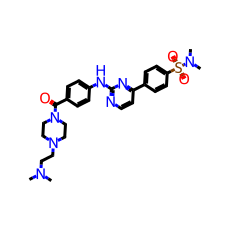 CN(C)CCN1CCN(C(=O)c2ccc(Nc3nccc(-c4ccc(S(=O)(=O)N(C)C)cc4)n3)cc2)CC1